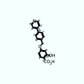 O=C(O)c1ccc(OCc2ccc(-c3ccncc3)cc2)cc1O